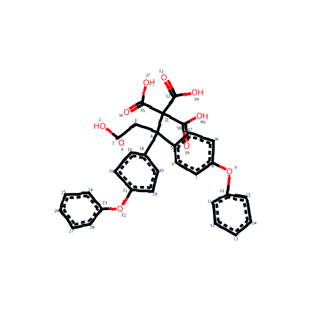 O=C(O)CC(c1ccc(Oc2ccccc2)cc1)(c1ccc(Oc2ccccc2)cc1)C(C(=O)O)(C(=O)O)C(=O)O